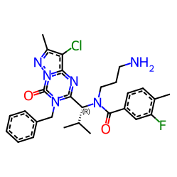 Cc1ccc(C(=O)N(CCCN)[C@@H](c2nc3c(Cl)c(C)nn3c(=O)n2Cc2ccccc2)C(C)C)cc1F